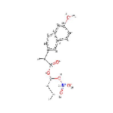 CCCC(OC(=O)[C@@H](C)c1ccc2cc(OC)ccc2c1)O[N+](=O)[O-]